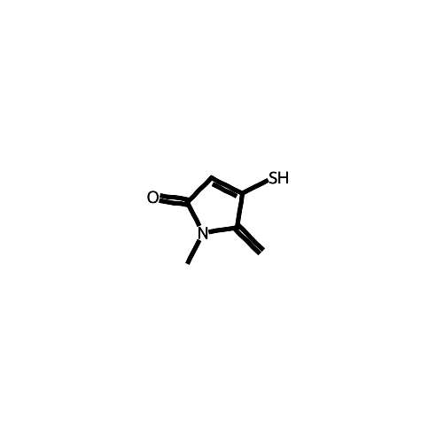 C=C1C(S)=CC(=O)N1C